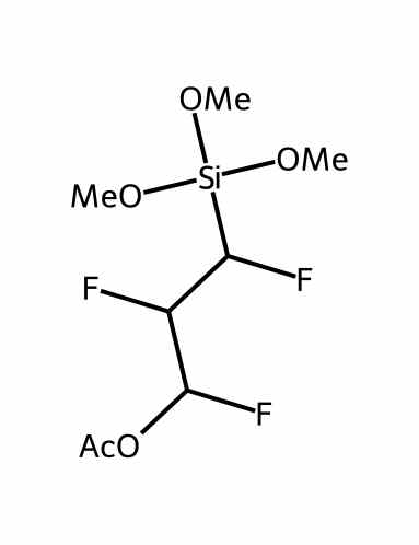 CO[Si](OC)(OC)C(F)C(F)C(F)OC(C)=O